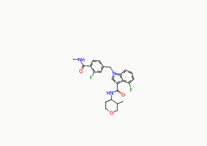 CNC(=O)c1ccc(Cn2cc(C(=O)NC3CCOCC3C)c3c(F)cccc32)cc1F